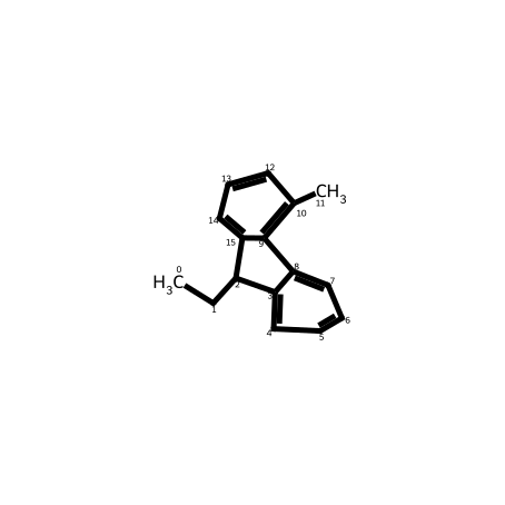 CCC1c2ccccc2-c2c(C)cccc21